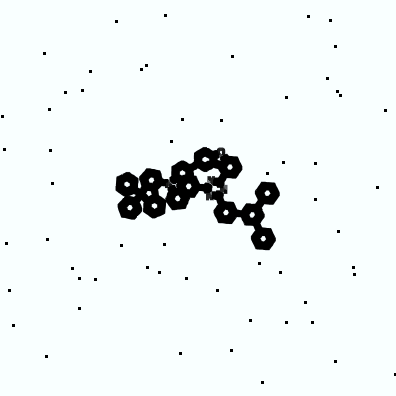 c1ccc(-c2cc(-c3ccccc3)cc(-c3cccc(-c4nc(-c5ccccc5)nc(-c5cccc6oc7ccc(-c8ccc9c(c8)c8ccccc8n9-c8cccc9c8-c8ccccc8C9(c8ccccc8)c8ccccc8)cc7c56)n4)c3)c2)cc1